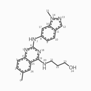 Cc1ccc2nc(Nc3ccc4cnn(C)c4c3)nc(NCCCO)c2c1